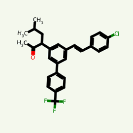 CC(=O)C(CC(C)C)c1cc(/C=C/c2ccc(Cl)cc2)cc(-c2ccc(C(F)(F)F)cc2)c1